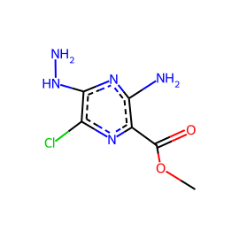 COC(=O)c1nc(Cl)c(NN)nc1N